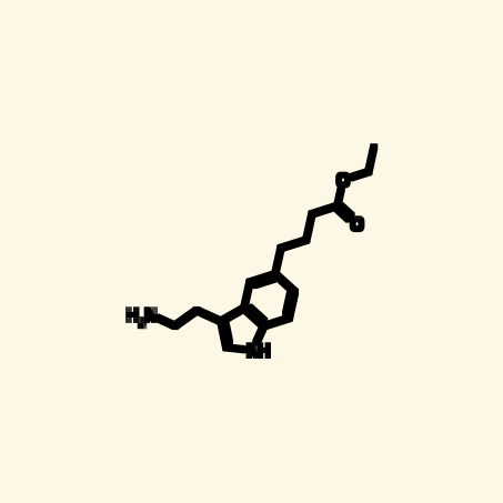 CCOC(=O)CCCc1ccc2[nH]cc(CCN)c2c1